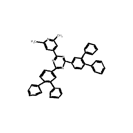 Cc1cc(-c2nc(-c3ccc(-c4ccccc4)c(-c4ccccc4)c3)nc(-c3ccc(-c4ccccc4)c(-c4ccccc4)c3)n2)cc(C)n1